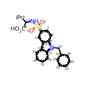 CC(C)C(NS(=O)(=O)c1ccc2c(c1)c1ccccc1n2Cc1ccccc1)C(=O)O